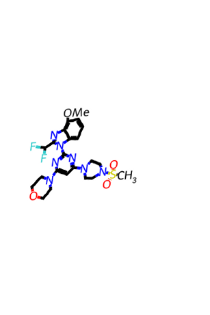 COc1cccc2c1nc(C(F)F)n2-c1nc(N2CCOCC2)cc(N2CCN(S(C)(=O)=O)CC2)n1